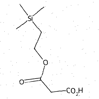 C[Si](C)(C)CCOC(=O)CC(=O)O